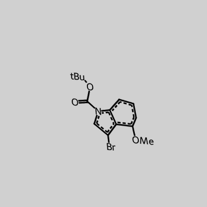 CC(C)(C)OC(=O)n1cc(Br)c2c(O[13CH3])cccc21